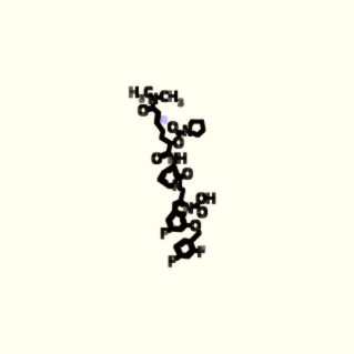 CN(C)C(=O)/C=C/CCC(OC(=O)N1CCCC1)C(=O)Nc1cccn(Cc2cc3cc(F)cc(OCc4ccc(F)cc4F)c3n2C(=O)O)c1=O